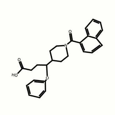 O=C(O)CCC(Oc1ccccc1)C1CCN(C(=O)c2cccc3ccccc23)CC1